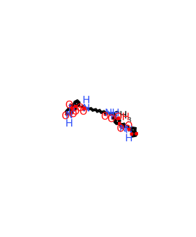 CN(CCNC(=O)CCCCCCCCNC(=O)COc1cccc2c1C(=O)N(C1CCC(=O)NC1=O)C2=O)C(=O)c1ccc(-c2cc(C(=O)N[C@@H]3CCc4ccccc43)no2)cc1O